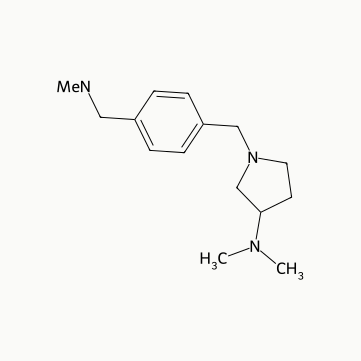 CNCc1ccc(CN2CCC(N(C)C)C2)cc1